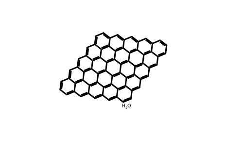 O.c1cc2cc3cc4cc5ccc6cc7cc8cc9cccc%10cc%11cc%12cc%13ccc%14cc%15cc%16cc(c1)c2c1c3c2c4c3c5c6c4c7c5c8c(c9%10)c%11c6c%12c7c%13c%14c8c%15c(c%161)c2c1c3c4c(c56)c7c81